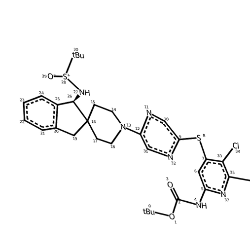 CC(C)(C)OC(=O)Nc1cc(Sc2cnc(N3CCC4(CC3)Cc3ccccc3[C@H]4N[S+]([O-])C(C)(C)C)cn2)c(Cl)c(Cl)n1